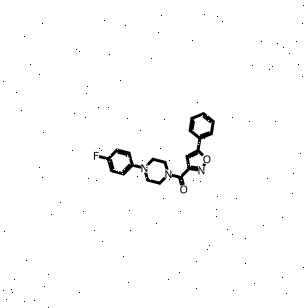 O=C(c1cc(-c2ccccc2)on1)N1CCN(c2ccc(F)cc2)CC1